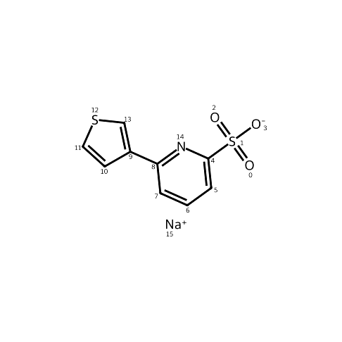 O=S(=O)([O-])c1cccc(-c2ccsc2)n1.[Na+]